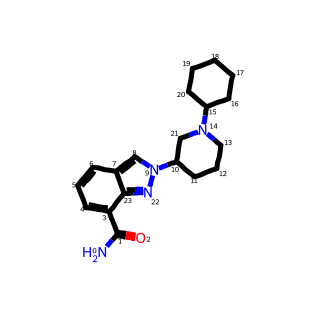 NC(=O)c1cccc2cn(C3CCCN(C4CCCCC4)C3)nc12